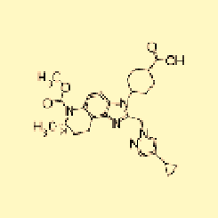 COC(=O)N1c2ccc3c(nc(Cn4cc(C5CC5)cn4)n3C3CCC(C(=O)O)CC3)c2CC[C@@H]1C